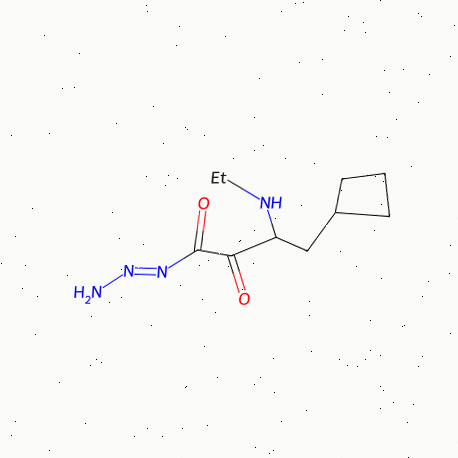 CCNC(CC1CCC1)C(=O)C(=O)N=NN